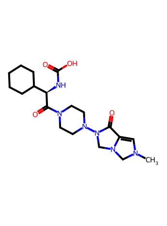 CN1C=C2C(=O)N(N3CCN(C(=O)[C@H](NC(=O)O)C4CCCCC4)CC3)CN2C1